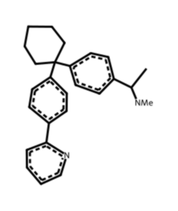 CNC(C)c1ccc(C2(c3ccc(-c4ccccn4)cc3)CCCCC2)cc1